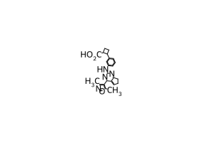 Cc1noc(C)c1C1N=C(Nc2cccc(C3CCC3C(=O)O)c2)N=C2CCC=C21